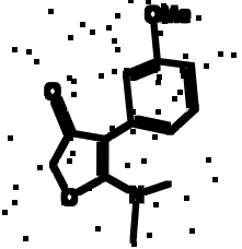 COc1cccc(C2=C(N(C)C)OCC2=O)c1